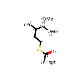 CCCCCCCC(=O)SCCC(CCC)[SiH](OC)OC